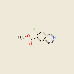 COC(=O)c1cc2ccncc2cc1F